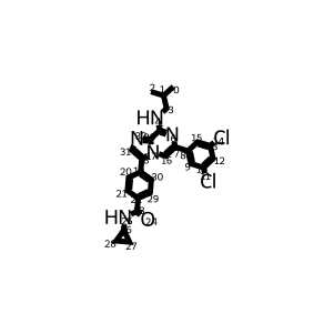 CC(C)CNc1nc(-c2cc(Cl)cc(Cl)c2)cn2c(-c3ccc(C(=O)NC4CC4)cc3)cnc12